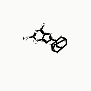 Cc1nc(Cl)c2nc(C34CC5CC(CC(C5)C3)C4)cc-2[nH]1